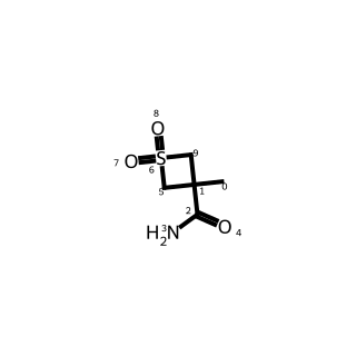 CC1(C(N)=O)CS(=O)(=O)C1